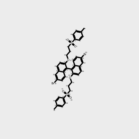 Cc1ccc(S(=O)(=O)CCCOc2ccc3cc(Br)ccc3c2-c2c(OCCCS(=O)(=O)c3ccc(C)cc3)ccc3cc(Br)ccc23)cc1